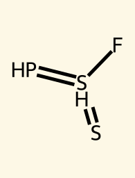 F[SH](=P)=S